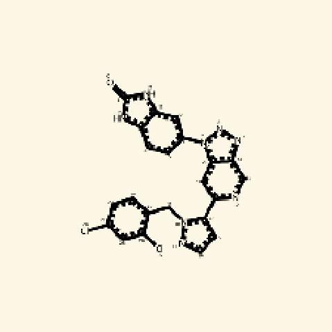 O=c1[nH]c2ccc(-n3nnc4cnc(-c5ccnn5Cc5ccc(Cl)cc5Cl)cc43)cc2[nH]1